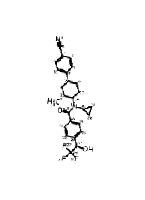 C[C@@H]1C[C@@H](c2ccc(C#N)cc2)CC[C@H]1N(C(=O)c1ccc(C(O)C(F)(F)F)cc1)C1CC1